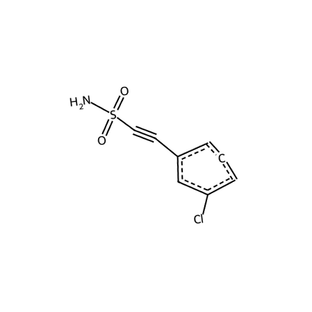 NS(=O)(=O)C#Cc1cccc(Cl)c1